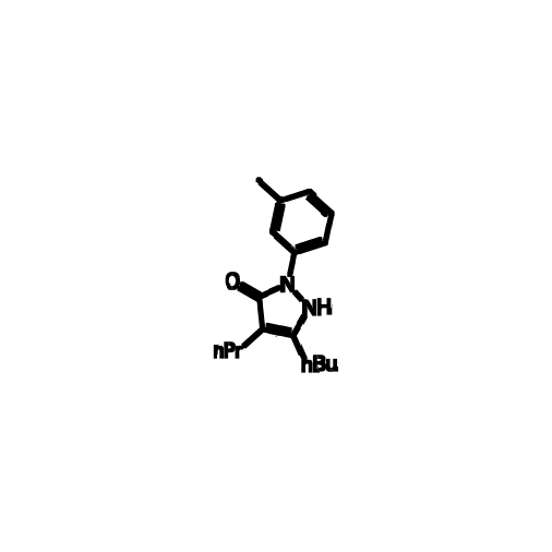 CCCCc1[nH]n(-c2cccc(C)c2)c(=O)c1CCC